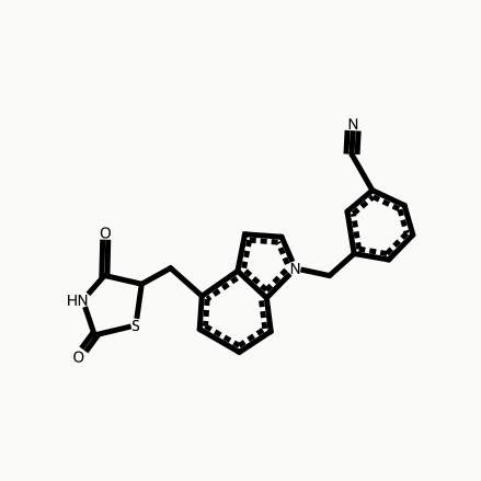 N#Cc1cccc(Cn2ccc3c(CC4SC(=O)NC4=O)cccc32)c1